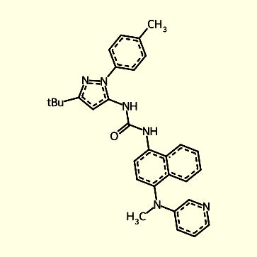 Cc1ccc(-n2nc(C(C)(C)C)cc2NC(=O)Nc2ccc(N(C)c3cccnc3)c3ccccc23)cc1